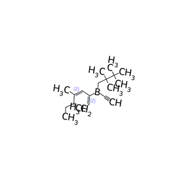 C#CB(CC(C)(C)C(C)(C)C)C(=C/C)/C=C(/C)C(=C)CC